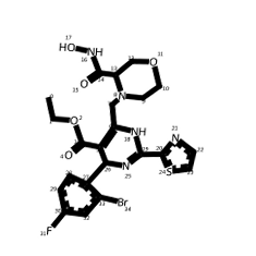 CCOC(=O)C1=C(CN2CCOCC2C(=O)NO)NC(c2nccs2)=NC1c1ccc(F)cc1Br